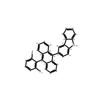 Fc1cccc(F)c1-c1c2ccccc2c(-c2ccc3oc4ccccc4c3c2)c2ccccc12